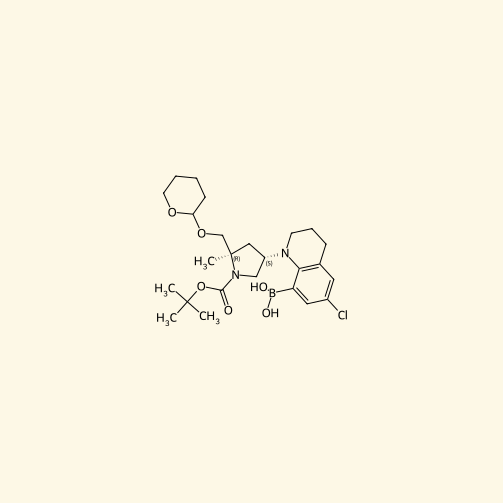 CC(C)(C)OC(=O)N1C[C@@H](N2CCCc3cc(Cl)cc(B(O)O)c32)C[C@]1(C)COC1CCCCO1